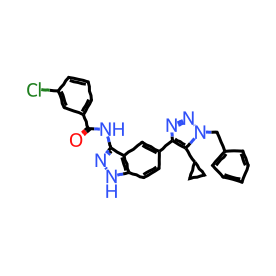 O=C(Nc1n[nH]c2ccc(-c3nnn(Cc4ccccc4)c3C3CC3)cc12)c1cccc(Cl)c1